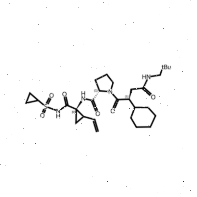 C=CC1C[C@]1(NC(=O)[C@@H]1CCCN1C(=O)[C@@H](CC(=O)NCC(C)(C)C)C1CCCCC1)C(=O)NS(=O)(=O)C1CC1